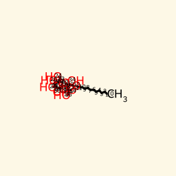 CCCCCCCCCCCCO[C@@H]1OC(CO)[C@@H](O[C@H]2OC(CO)[C@@H](O)C(O)[C@@H]2O)C(O)[C@@H]1O